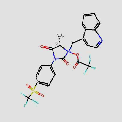 C[C@H]1C(=O)N(c2ccc(S(=O)(=O)C(F)(F)F)cc2)C(=O)[N+]1(Cc1ccnc2ccccc12)OC(=O)C(F)(F)F